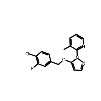 Cc1cccnc1-n1nccc1OCc1ccc(Cl)c(F)c1